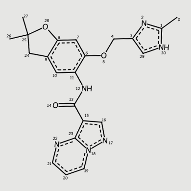 Cc1nc(COc2cc3c(cc2NC(=O)c2cnn4cccnc24)CC(C)(C)O3)c[nH]1